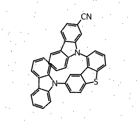 N#Cc1ccc2c3ccccc3n(-c3cccc4sc5ccc(-n6c7ccccc7c7ccccc76)cc5c34)c2c1